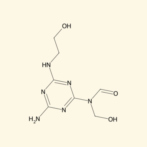 Nc1nc(NCCO)nc(N(C=O)CO)n1